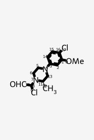 COc1cc(N2CCN(C(Cl)C=O)[C@@H](C)C2)ccc1Cl